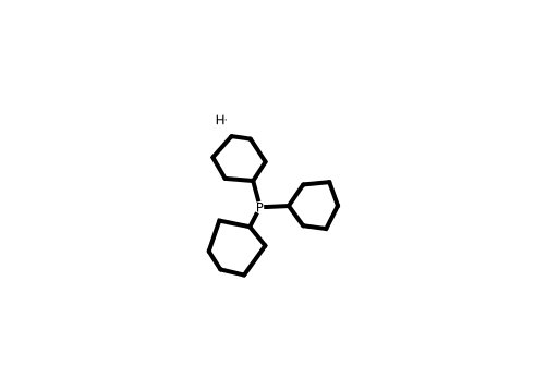 C1CCC(P(C2CCCCC2)C2CCCCC2)CC1.[H]